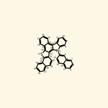 c1ccc2cc(-n3c4ccccc4c4c5ccccc5c5sc6c7ccccc7ccc6c5c43)ccc2c1